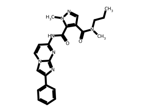 CCCN(C)C(=O)c1cnn(C)c1C(=O)Nc1ccn2cc(-c3ccccc3)nc2n1